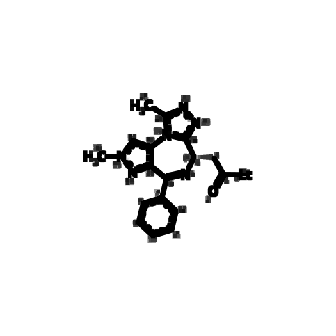 CCC(=O)C[C@@H]1N=C(c2ccccc2)c2nn(C)cc2-n2c(C)nnc21